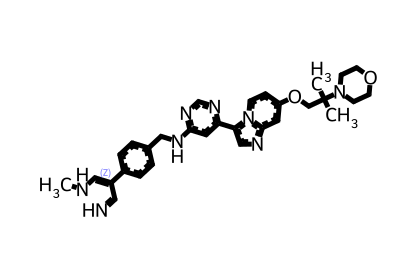 CN/C=C(\C=N)c1ccc(CNc2cc(-c3cnc4cc(OCC(C)(C)N5CCOCC5)ccn34)ncn2)cc1